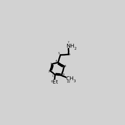 CCc1ccc(CCN)cc1C